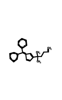 C=CCCC(C)(C)C1=CC(=C(c2ccccc2)c2ccccc2)C=C1